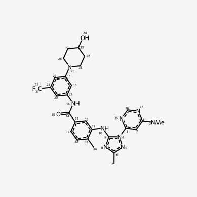 CNc1cc(-n2nc(C)nc2Nc2cc(C(=O)Nc3cc(N4CCC(O)CC4)cc(C(F)(F)F)c3)ccc2C)ncn1